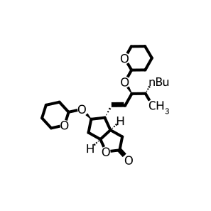 CCCC[C@H](C)[C@@H](C=C[C@@H]1[C@H]2CC(=O)O[C@H]2C[C@H]1OC1CCCCO1)OC1CCCCO1